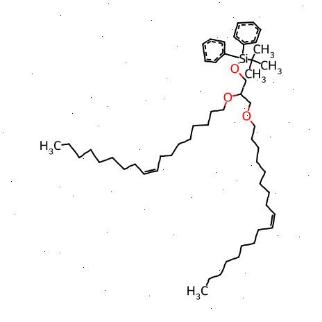 CCCCCCCC/C=C\CCCCCCCCOCC(CO[Si](c1ccccc1)(c1ccccc1)C(C)(C)C)OCCCCCCCC/C=C\CCCCCCCC